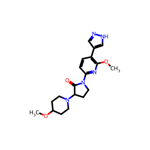 COc1nc(N2CCC(N3CCC(OC)CC3)C2=O)ccc1-c1cn[nH]c1